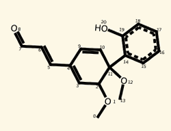 COC1C=C(C=CC=O)C=CC1(OC)c1ccccc1O